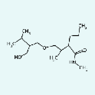 CCCC(C(=O)NC)C(C)COCC(CO)C(C)C